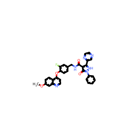 COc1ccc2c(Oc3ccc(CNC(=O)c4c(-c5cnccn5)[nH]n(-c5ccccc5)c4=O)cc3F)ccnc2c1